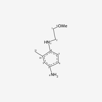 COCCNc1ccc(N)cc1C